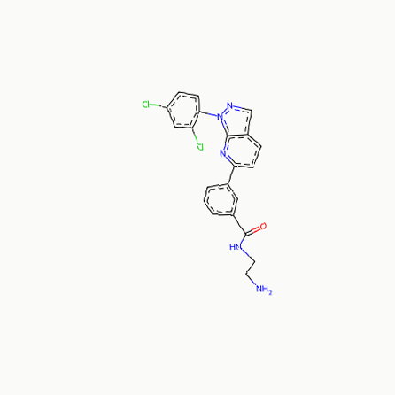 NCCNC(=O)c1cccc(-c2ccc3cnn(-c4ccc(Cl)cc4Cl)c3n2)c1